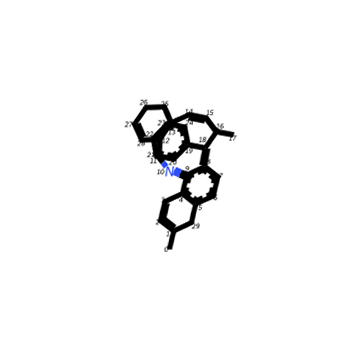 CC1=C=Cc2c(ccc3/c2=N\CC2=C(/C=C\C(C)/C=3c3ccccc3)CCC=C2)C1